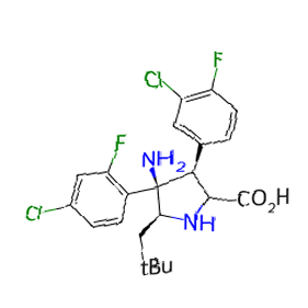 CC(C)(C)C[C@@H]1NC(C(=O)O)[C@H](c2ccc(F)c(Cl)c2)[C@@]1(N)c1ccc(Cl)cc1F